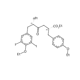 CCC[C@@H](Cc1cc(I)c(OCC)c(I)c1)C(=O)C[C@@H](Cc1ccc(OCC)cc1)C(=O)OCC